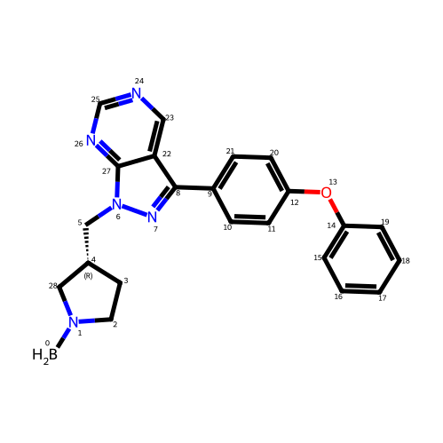 BN1CC[C@@H](Cn2nc(-c3ccc(Oc4ccccc4)cc3)c3cncnc32)C1